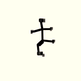 CC=C(F)C(O)(F)F